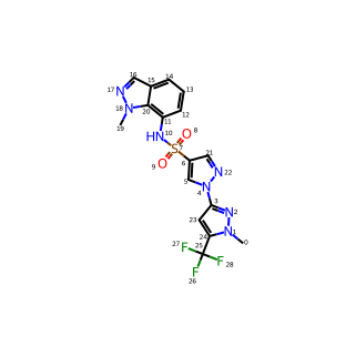 Cn1nc(-n2cc(S(=O)(=O)Nc3cccc4cnn(C)c34)cn2)cc1C(F)(F)F